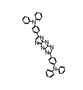 c1ccc(N(c2ccccc2)c2ccc(-c3cnc4nc5nc(-c6ccc(N(c7ccccc7)c7ccccc7)cc6)cnc5nc4n3)cc2)cc1